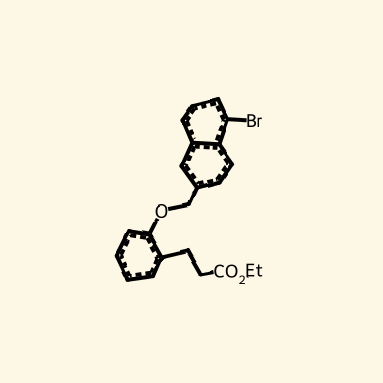 CCOC(=O)CCc1ccccc1OCc1ccc2c(Br)cccc2c1